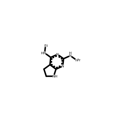 CCCNc1nc(NCC)c2c(n1)NCC2